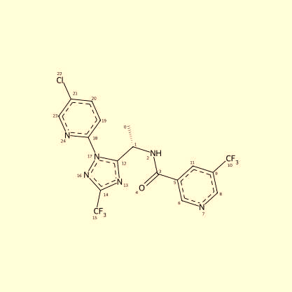 C[C@H](NC(=O)c1cncc(C(F)(F)F)c1)c1nc(C(F)(F)F)nn1-c1ccc(Cl)cn1